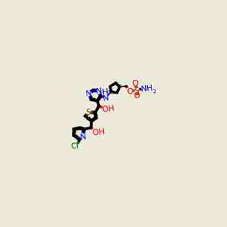 NS(=O)(=O)OC[C@@H]1CC[C@H](Nc2ncncc2C(O)c2cc(C(O)c3cccc(Cl)n3)cs2)C1